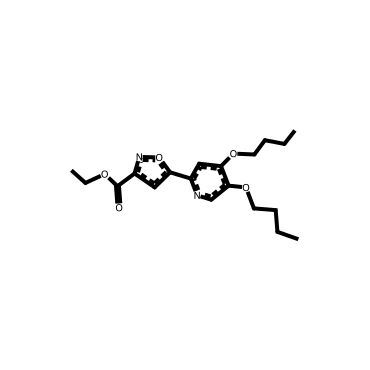 CCCCOc1cnc(-c2cc(C(=O)OCC)no2)cc1OCCCC